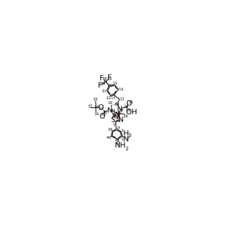 CNc1cc(-c2nnc(N(C[C@H](Cc3ccc(C(F)(F)F)cc3)N(C(=O)O)C(C)(C)C)C(=O)OC(C)(C)C)s2)ccc1N